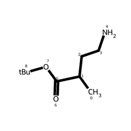 CC(CCN)C(=O)OC(C)(C)C